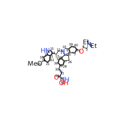 CCN(CC)CCOc1ccc(CN(CCc2c[nH]c3cc(OC)ccc23)C2CCc3cc(/C=C/C(=O)NO)ccc32)cc1